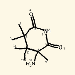 CC1(C)C(=O)NC(=O)C(C)(N)C1(C)C